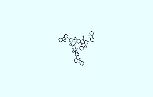 c1ccc2c(c1)Oc1cc(-c3cccc4c3oc3ccccc34)cc3c1B2c1cc2c(cc1N3)Oc1cc(-c3cccc4c3oc3ccccc34)cc3c1B2c1cc2c(cc1O3)Oc1cc(-c3cccc4c3oc3ccccc34)cc3c1B2c1ccccc1O3